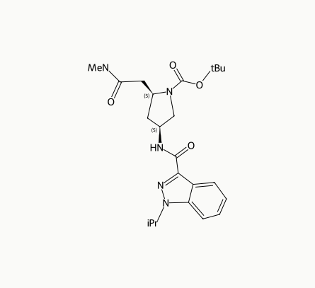 CNC(=O)C[C@@H]1C[C@H](NC(=O)c2nn(C(C)C)c3ccccc23)CN1C(=O)OC(C)(C)C